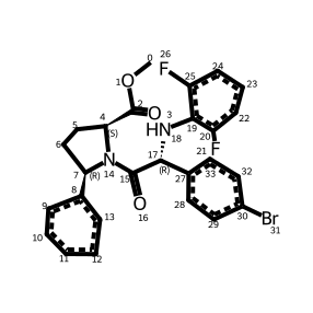 COC(=O)[C@@H]1CC[C@H](c2ccccc2)N1C(=O)[C@H](Nc1c(F)cccc1F)c1ccc(Br)cc1